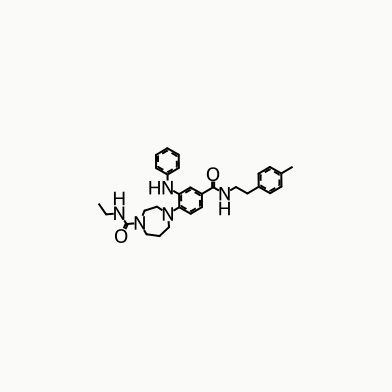 CCNC(=O)N1CCCN(c2ccc(C(=O)NCCc3ccc(C)cc3)cc2Nc2ccccc2)CC1